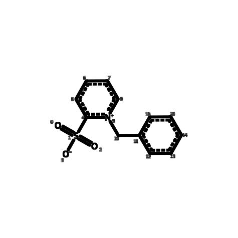 O=S(=O)([O-])c1cccc[n+]1Cc1ccccc1